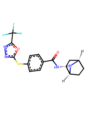 O=C(N[C@@H]1C[C@H]2CC[C@@H]1N2)c1ccc(Sc2nnc(C(F)(F)F)o2)cc1